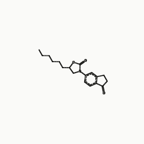 CCCCCCC1CN(c2ccc3c(c2)CCC3=O)C(=O)O1